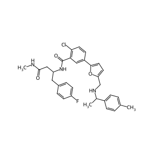 CNC(=O)CC(Cc1ccc(F)cc1)NC(=O)c1cc(-c2ccc(CNC(C)c3ccc(C)cc3)o2)ccc1Cl